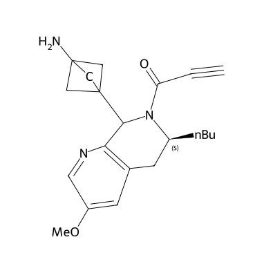 C#CC(=O)N1C(C23CC(N)(C2)C3)c2ncc(OC)cc2C[C@@H]1CCCC